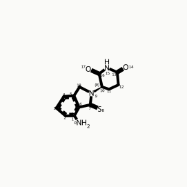 Nc1cccc2c1C(=S)N([C@@H]1CCC(=O)NC1=O)C2